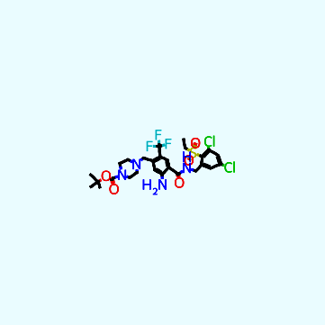 CCS(=O)(=O)c1c(Cl)cc(Cl)cc1CNC(=O)c1cc(C(F)(F)F)c(CN2CCN(C(=O)OC(C)(C)C)CC2)cc1N